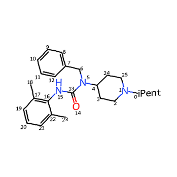 CCCC(C)N1CCC(N(Cc2ccccc2)C(=O)Nc2c(C)cccc2C)CC1